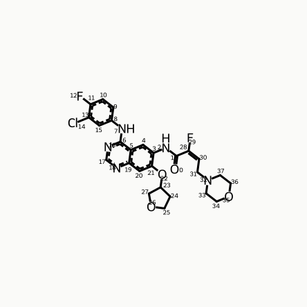 O=C(Nc1cc2c(Nc3ccc(F)c(Cl)c3)ncnc2cc1OC1CCOC1)/C(F)=C\CN1CCOCC1